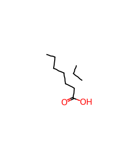 CCC.CCCCCCC(=O)O